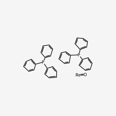 [O]=[Re].c1ccc(P(c2ccccc2)c2ccccc2)cc1.c1ccc(P(c2ccccc2)c2ccccc2)cc1